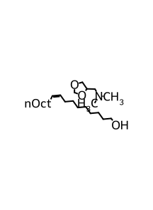 CCCCCCCC/C=C\CCCCCCCCO.CN(C)CC1COCO1